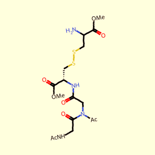 COC(=O)C(N)CSSC[C@H](NC(=O)CN(C(C)=O)C(=O)CNC(C)=O)C(=O)OC